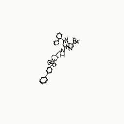 O=S(=O)(c1ccc(-c2ccccc2)cc1)N1CCC(CNc2cc(-c3ccccc3Cl)nc3c(Br)cnn23)CC1